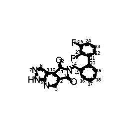 O=C1c2cnc3[nH]ncc3c2C(=O)N1Cc1ccccc1-c1cccc(F)c1F